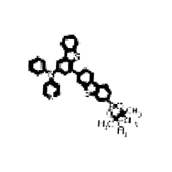 CC1(C)OB(c2ccc3c(c2)sc2cc(-c4cc(N(c5ccccc5)c5ccncc5)cc5c4sc4ccccc45)ccc23)OC1(C)C